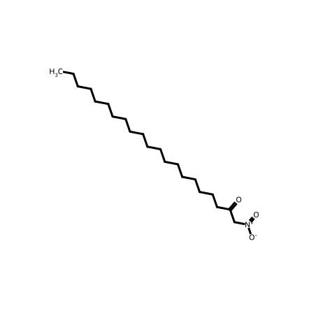 CCCCCCCCCCCCCCCCCCCC(=O)C[N+](=O)[O-]